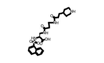 O=C(CCC1CCNCC1)NCCC(=O)NC[C@H](NS(=O)(=O)c1cccc2ccccc12)C(=O)O